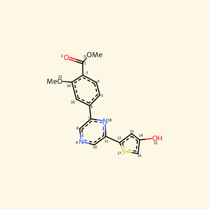 COC(=O)c1ccc(-c2cncc(-c3cc(O)cs3)n2)cc1OC